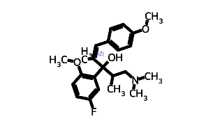 COc1ccc(/C=C(/C)C(O)(c2cc(F)ccc2OC)C(C)CN(C)C)cc1